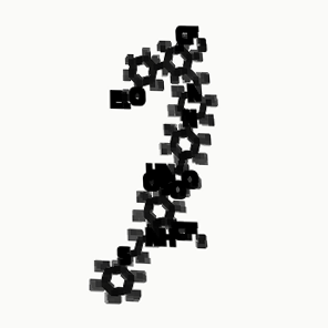 CCOc1cccc(-c2cc(CN3CCN(c4ccc(C(=O)NS(=O)(=O)c5ccc(NCCSc6ccccc6)c(C(F)(F)F)c5)cc4)CC3)cc(C(F)(F)F)c2)c1